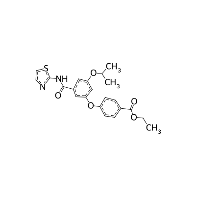 CCOC(=O)c1ccc(Oc2cc(OC(C)C)cc(C(=O)Nc3nccs3)c2)cc1